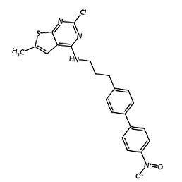 Cc1cc2c(NCCCc3ccc(-c4ccc([N+](=O)[O-])cc4)cc3)nc(Cl)nc2s1